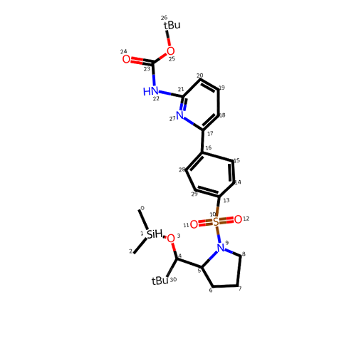 C[SiH](C)OC(C1CCCN1S(=O)(=O)c1ccc(-c2cccc(NC(=O)OC(C)(C)C)n2)cc1)C(C)(C)C